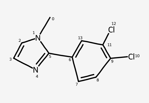 Cn1ccnc1-c1ccc(Cl)c(Cl)c1